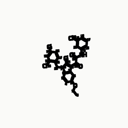 CCOc1ccc2c(c1)c(C(=O)C(=O)Nc1cccc(Cl)c1)c(Cl)n2Cc1ccc(Cl)cc1Cl